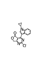 O=C1OCc2nc(Cl)nc(-c3cn(C4CC4)c4ccccc34)c21